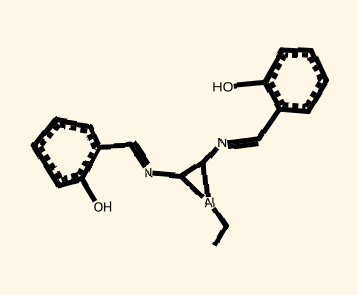 C[CH2][Al]1[CH](N=Cc2ccccc2O)[CH]1N=Cc1ccccc1O